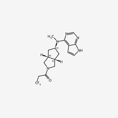 CN(c1ncnc2[nH]ccc12)[C@H]1C[C@@H]2CN(C(=O)CC(F)(F)F)C[C@@H]2C1